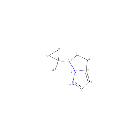 CC1([C@@H]2CCc3ccnn32)CC1